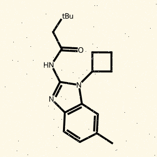 Cc1ccc2nc(NC(=O)CC(C)(C)C)n(C3CCC3)c2c1